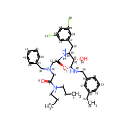 CCCN(CCC)C(=O)CN(CC(=O)N[C@@H](Cc1cc(F)cc(F)c1)[C@H](O)CNCc1cccc(CC)c1)Cc1ccccc1